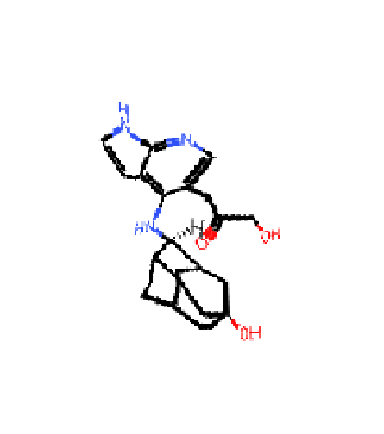 O=C(CO)c1cnc2[nH]ccc2c1N[C@H]1C2CC3CC1C[C@@](O)(C3)C2